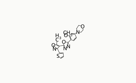 COc1cc(N2CCOCC2)ccc1-c1nnc(-c2c(-c3cccs3)noc2C)o1